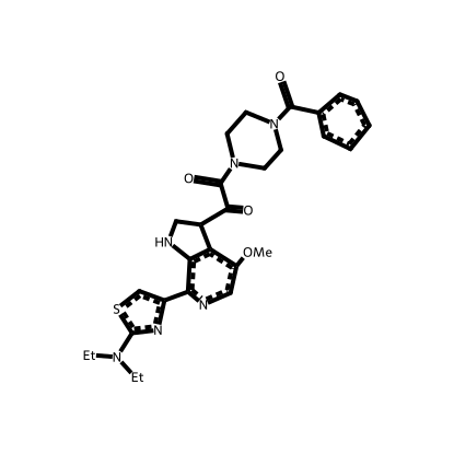 CCN(CC)c1nc(-c2ncc(OC)c3c2NCC3C(=O)C(=O)N2CCN(C(=O)c3ccccc3)CC2)cs1